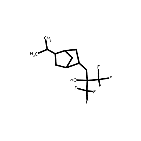 CC(C)C1CC2CC1CC2CC(O)(C(F)(F)F)C(F)(F)F